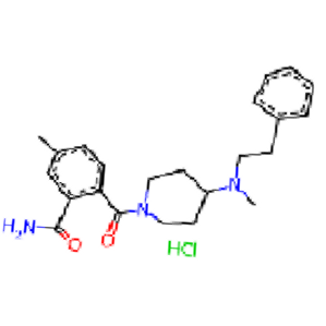 Cc1ccc(C(=O)N2CCC(N(C)CCc3ccccc3)CC2)c(C(N)=O)c1.Cl